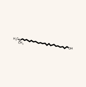 CN(C)CCCCCCCCCCCCCCCCCCCCCO